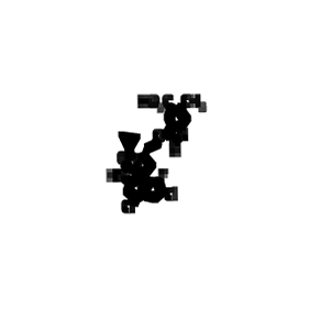 Cc1cc2n[nH]c(OCC[C@H]3C[C@H](c4cccc(Cl)c4F)[C@]4(C(=O)Nc5cc(Cl)ccc54)N3CC3CC3)c2cc1C(=O)O